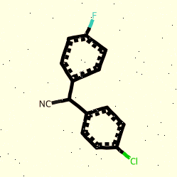 N#CC(c1ccc(F)cc1)c1ccc(Cl)cc1